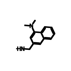 CN(C)c1cc(C[NH])cc2ccccc12